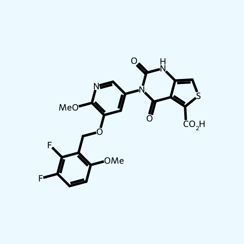 COc1ccc(F)c(F)c1COc1cc(-n2c(=O)[nH]c3csc(C(=O)O)c3c2=O)cnc1OC